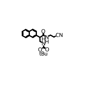 CC(C)(C)OC(=O)NCC(C(=O)NCCC#N)c1ccc2ccccc2c1